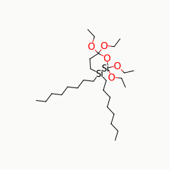 CCCCCCCC[Si]1(CCCCCCCC)CCC(OCC)(OCC)O[Si]1(OCC)OCC